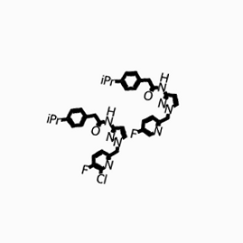 CC(C)c1ccc(CC(=O)Nc2ccn(Cc3ccc(F)c(Cl)n3)n2)cc1.CC(C)c1ccc(CC(=O)Nc2ccn(Cc3ccc(F)cn3)n2)cc1